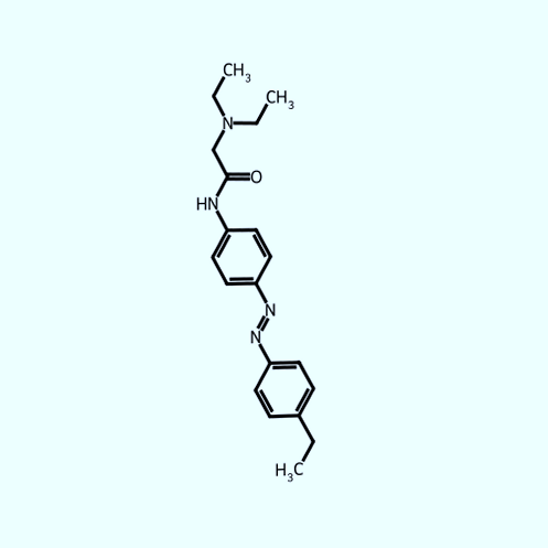 CCc1ccc(/N=N/c2ccc(NC(=O)CN(CC)CC)cc2)cc1